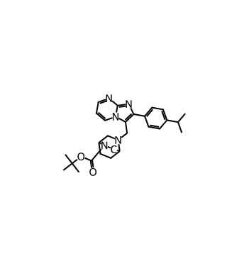 CC(C)c1ccc(-c2nc3ncccn3c2CN2CC3CCC2CN3C(=O)OC(C)(C)C)cc1